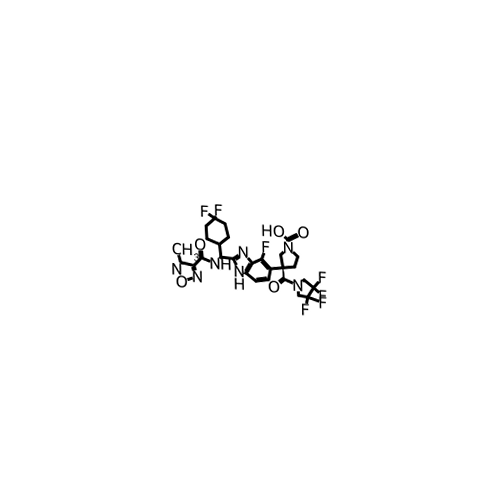 Cc1nonc1C(=O)NC(c1nc2c(F)c([C@@]3(C(=O)N4CC(F)(F)C(F)(F)C4)CCN(C(=O)O)C3)ccc2[nH]1)C1CCC(F)(F)CC1